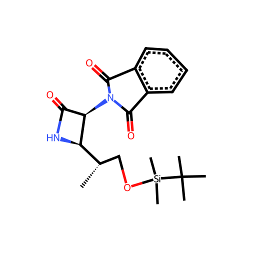 C[C@@H](CO[Si](C)(C)C(C)(C)C)[C@H]1NC(=O)[C@H]1N1C(=O)c2ccccc2C1=O